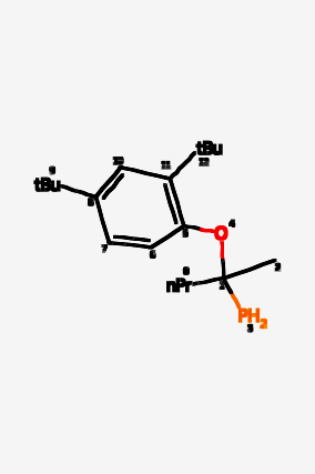 CCCC(C)(P)Oc1ccc(C(C)(C)C)cc1C(C)(C)C